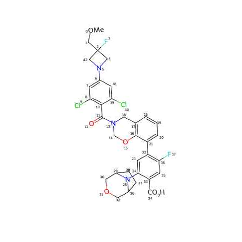 COCC1(F)CN(c2cc(Cl)c(C(=O)N3COc4c(cccc4-c4cc(N5C6CCC5COC6)c(C(=O)O)cc4F)C3)c(Cl)c2)C1